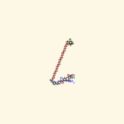 CCCN(CCC)C(=O)C1=Cc2ccc(C(=O)NC3CCN(Cc4ccc(CN(C)CCOCCOCCOCCOCCOCCOCCOCCOCCOCCOCCC(=O)Oc5c(F)c(F)cc(F)c5F)cc4)CC3)cc2N=C(N)C1